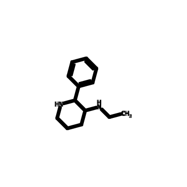 CCNC1CCCNC1c1ccccc1